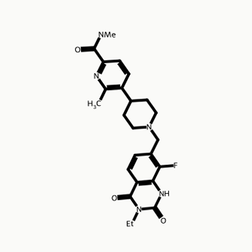 CCn1c(=O)[nH]c2c(F)c(CN3CCC(c4ccc(C(=O)NC)nc4C)CC3)ccc2c1=O